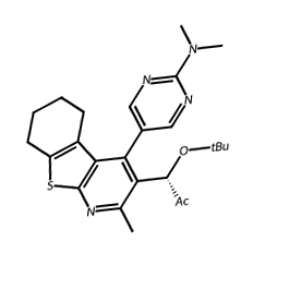 CC(=O)[C@@H](OC(C)(C)C)c1c(C)nc2sc3c(c2c1-c1cnc(N(C)C)nc1)CCCC3